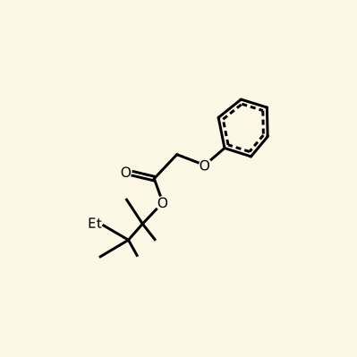 CCC(C)(C)C(C)(C)OC(=O)COc1ccccc1